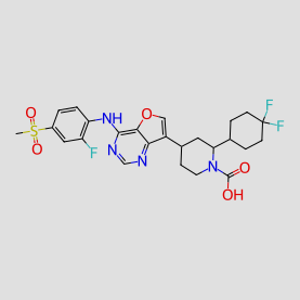 CS(=O)(=O)c1ccc(Nc2ncnc3c(C4CCN(C(=O)O)C(C5CCC(F)(F)CC5)C4)coc23)c(F)c1